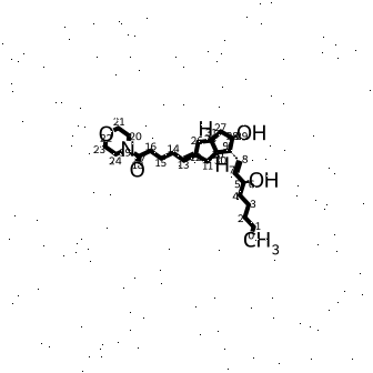 CCCCC[C@H](O)C=C[C@@H]1[C@H]2CC(=CCCCC(=O)N3CCOCC3)C[C@H]2C[C@H]1O